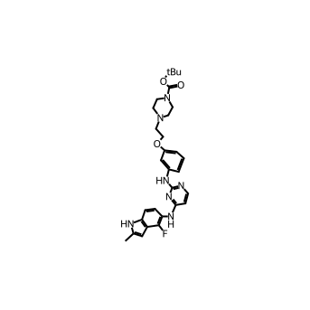 Cc1cc2c(F)c(Nc3ccnc(Nc4cccc(OCCN5CCN(C(=O)OC(C)(C)C)CC5)c4)n3)ccc2[nH]1